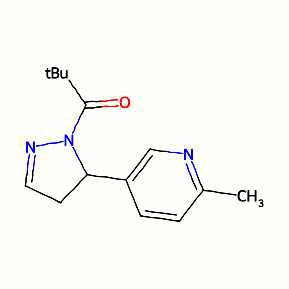 Cc1ccc(C2CC=NN2C(=O)C(C)(C)C)cn1